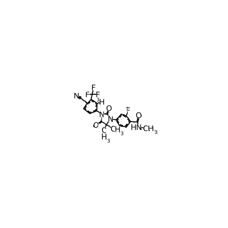 [3H]c1c(N2C(=O)N(c3ccc(C(=O)NC)c(F)c3)C(C)(C)C2=O)ccc(C#N)c1C(F)(F)F